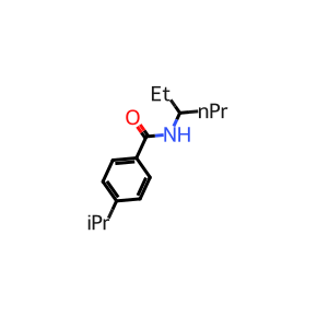 CCCC(CC)NC(=O)c1ccc(C(C)C)cc1